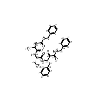 CC(NC(=O)OCc1ccccc1)C(=O)N[C@@H](CC(F)(F)F)C(=O)N[C@@H](Cc1ccccc1)C(=O)C(=O)NCc1ccccc1